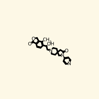 Cc1c(C(O)CN2CCC3(CC2)CC(=O)N(c2ccncc2)C3)ccc2c1COC2=O